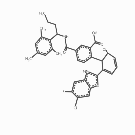 CCCC(NC(=O)c1ccc(C2C(c3nc4cc(Cl)c(F)cc4[nH]3)=CC=C[C@@H]2Cl)c(C(=O)O)c1)c1c(C)cc(C)cc1C